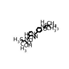 CC(C)C(NC(=O)c1cccn2c(-c3ccc(NC(=O)OC(C)(C)C)cc3)nnc12)C(=O)O